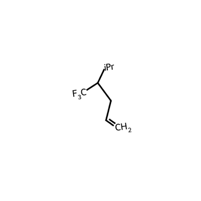 C=CCC(C(C)C)C(F)(F)F